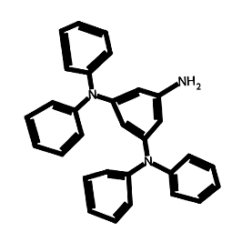 Nc1cc(N(c2ccccc2)c2ccccc2)cc(N(c2ccccc2)c2ccccc2)c1